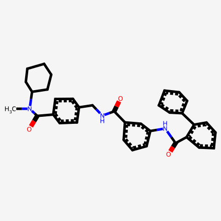 CN(C(=O)c1ccc(CNC(=O)c2cccc(NC(=O)c3ccccc3-c3ccccc3)c2)cc1)C1CCCCC1